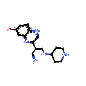 N=C/C(=C\NC1CCNCC1)c1cnc2ccc(Br)cc2n1